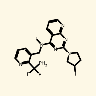 FC(F)(P)c1ncccc1CN(I)c1nc(N2CCC(I)C2)nc2ncccc12